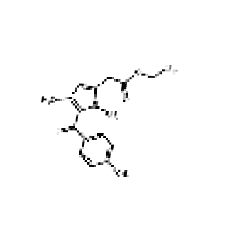 CCOC(=O)Cc1cc(C)c(C(=S)c2ccc(C)cc2)n1C